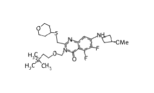 CO[C@H]1C[C@@H](Nc2cc3nc(CSC4CCOCC4)n(COCC[Si](C)(C)C)c(=O)c3c(F)c2F)C1